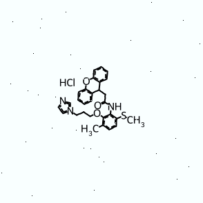 CSc1ccc(C)c(OCCCn2ccnc2)c1NC(=O)CC1c2ccccc2Oc2ccccc21.Cl